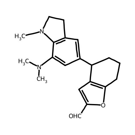 CN(C)c1cc(C2CCCc3oc(C=O)cc32)cc2c1N(C)CC2